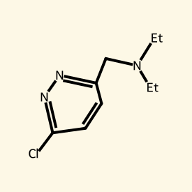 CCN(CC)Cc1ccc(Cl)nn1